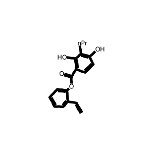 C=Cc1ccccc1OC(=O)c1ccc(O)c(CCC)c1O